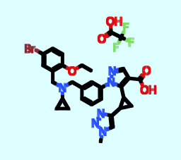 CCOc1ccc(Br)cc1CN(Cc1cccc(-n2ncc(C(=O)O)c2C2CC2c2cn(C)nn2)c1)C1CC1.O=C(O)C(F)(F)F